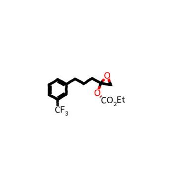 CCOC(=O)OC1(CCCc2cccc(C(F)(F)F)c2)CO1